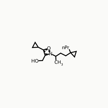 CCCC1(CCC(C)n2oc(C3CC3)c2CO)CC1